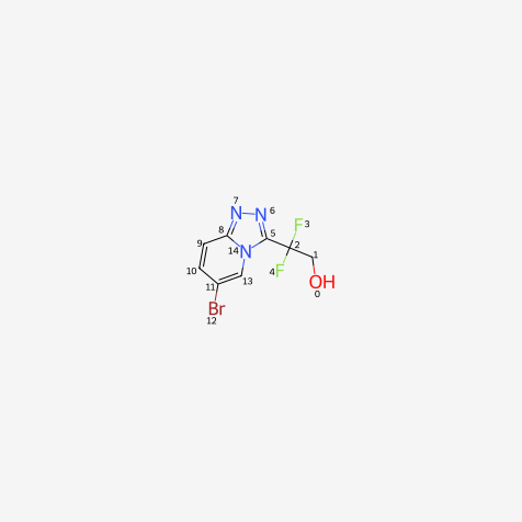 OCC(F)(F)c1nnc2ccc(Br)cn12